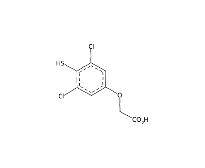 O=C(O)COc1cc(Cl)c(S)c(Cl)c1